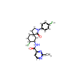 Cc1nccc(C(=O)NC2CC3(CCC2F)CCN(c2ccc(F)cc2)C3=O)n1